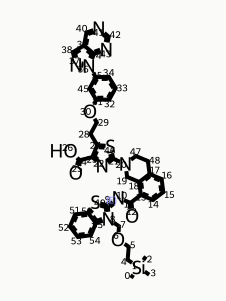 C[Si](C)(C)CCOCn1/c(=N\C(=O)c2cccc3c2CN(c2nc(C(=O)O)c(CCOc4cccc(-n5ncc6cncnc65)c4)s2)CC3)sc2ccccc21